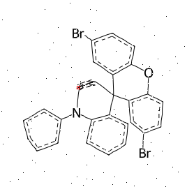 Brc1ccc2c(c1)C1(c3cc(Br)ccc3O2)c2ccccc2N(c2ccccc2)c2ccccc21